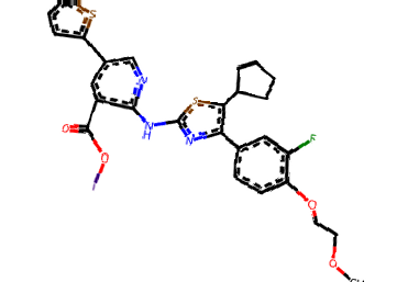 COCCOc1ccc(-c2nc(Nc3ncc(-c4cccs4)cc3C(=O)OI)sc2C2CCCC2)cc1F